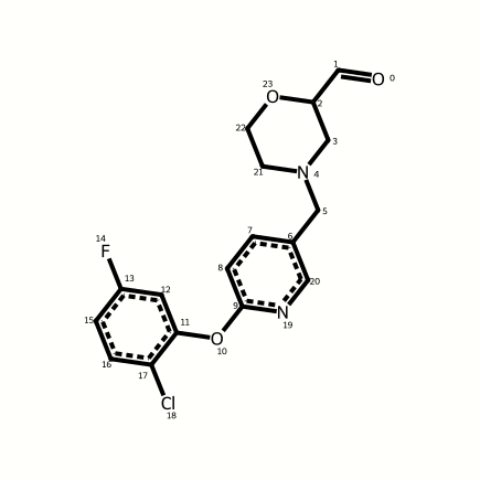 O=CC1CN(Cc2ccc(Oc3cc(F)ccc3Cl)nc2)CCO1